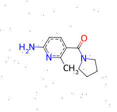 Cc1nc(N)ccc1C(=O)N1CCCC1